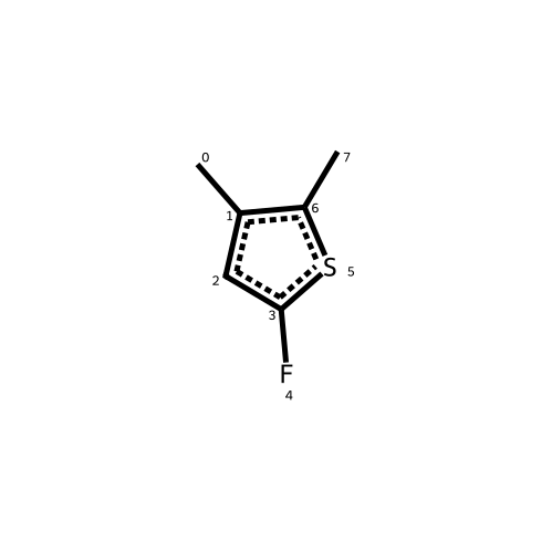 Cc1cc(F)sc1C